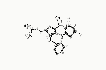 CC(C)c1nc(CN=C(N)N)n(Cc2cccnc2)c1Sc1cc(Cl)cc(Cl)c1